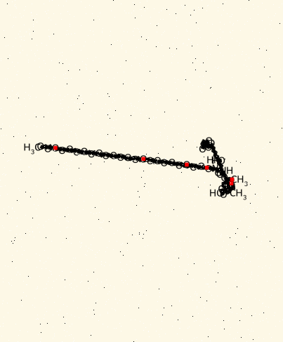 COCCOCCOCCOCCOCCOCCOCCOCCOCCOCCOCCOCCOCCOCCOCCOCCOCCOCCOCCOCCOCCOCCOCCOCCNC(=O)C(CCC(=O)NCCCCCC(=O)ON1C(=O)CCC1=O)NC(=O)COc1cc(C)c2c3c1C=CC1C(S(=O)(=O)O)=CC(C)=C(C=C2)C31